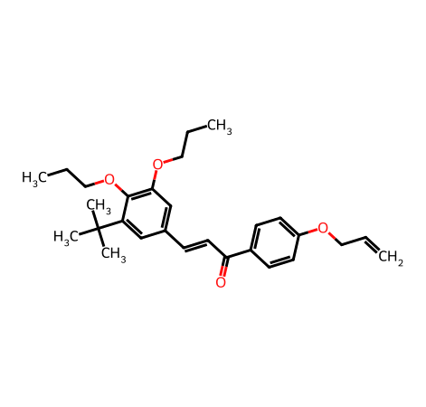 C=CCOc1ccc(C(=O)C=Cc2cc(OCCC)c(OCCC)c(C(C)(C)C)c2)cc1